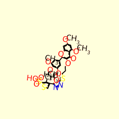 COc1cc(OC)c2c(=O)c(OCCCSc3nnc(-c4csc(S(=O)(=O)O)c4C)o3)c(-c3cc(OC)c(OC)c(OC)c3)oc2c1